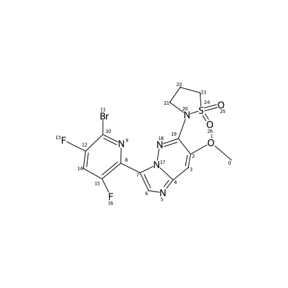 COc1cc2ncc(-c3nc(Br)c(F)cc3F)n2nc1N1CCCS1(=O)=O